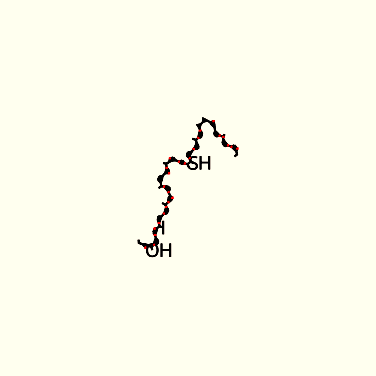 CCC1C2C(C(O)C3C4C5C(C6C7C8C(C(I)C9C%10C%11C(C%12C%13C%14C(C(C)C%15C%16C%17C(C%18C%19C%20C(C(C)C%21C%22C%23C(C%24C%25C%26C(C(C)C%27C%28C%29C(C%30C%31C(C(C)C(S)C%32C%33C%34C(C%35C%36C%37C(C(C)C%38C%39C%40C(C%41CC%41C%41C=C%41C%41C%42C%43C(C%44C%45C%46C(C(C)C%47C%48C%49C(C%50C%51C%52C(CC)C%52%51%50)C%47%48%49)C%44%46%45)C%41%42%43)C%38%39%40)C%37%36%35)C%32%33%34)C%31%30)C%27%28%29)C%26%25%24)C%21%22%23)C%20%19%18)C%15%16%17)C%14%13%12)C9%10%11)C867)C345)C12